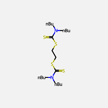 CCCCN(CCCC)C(=S)SCCSC(=S)N(CCCC)CCCC